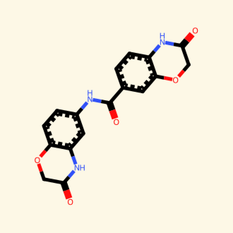 O=C1COc2ccc(NC(=O)c3ccc4c(c3)OCC(=O)N4)cc2N1